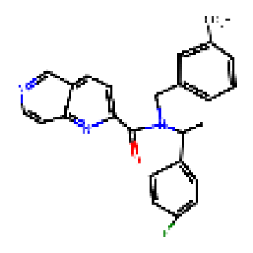 CC(c1ccc(F)cc1)N(Cc1cccc(C(=O)O)c1)C(=O)c1ccc2cnccc2n1